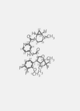 COc1c([C@H]2[C@H](C(=O)Nc3ccnc(C(=O)N4CCN(C)[C@H]5C[C@H]54)c3)O[C@@](C)(C(F)(F)F)[C@H]2C)ccc(F)c1F